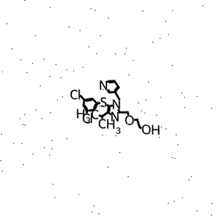 CC(C)c1nc(COCCO)n(Cc2cccnc2)c1Sc1cc(Cl)cc(Cl)c1